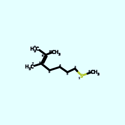 CSCCCCC(C)=C(C)C